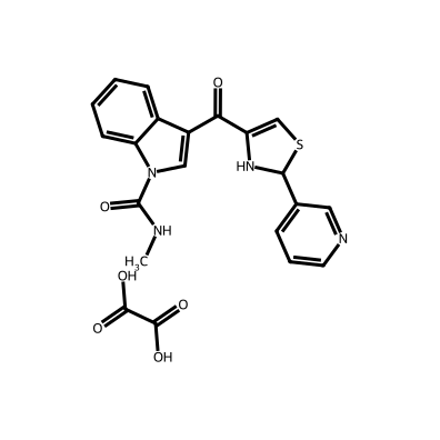 CNC(=O)n1cc(C(=O)C2=CSC(c3cccnc3)N2)c2ccccc21.O=C(O)C(=O)O